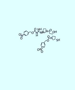 N=C(NC(=O)OCc1ccc([N+](=O)[O-])cc1)N[C@H]1CCN(C(=O)CC(O)[C@@H]2C[C@H](S)CN2C(=O)OCc2ccc([N+](=O)[O-])cc2)C1